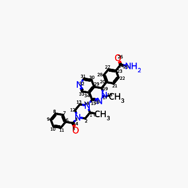 CC1CN(C(=O)c2ccccc2)CCN1C1=NN(C)C(c2ccc(C(N)=O)cc2)c2ccncc21